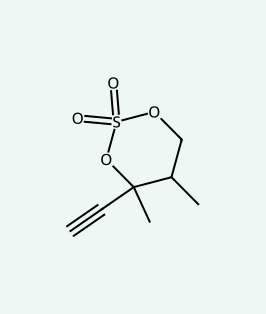 C#CC1(C)OS(=O)(=O)OCC1C